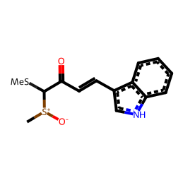 CSC(C(=O)C=Cc1c[nH]c2ccccc12)[S+](C)[O-]